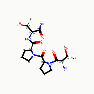 C[C@@H](O)[C@H](N)C(=O)N1CCCC1C(=O)N1CCC[C@H]1C(=O)N[C@H](C(N)=O)[C@@H](C)O